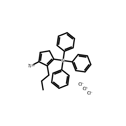 CCCC1=C([Si](c2ccccc2)(c2ccccc2)c2ccccc2)CC=[C]1[Ti+3].[Cl-].[Cl-].[Cl-]